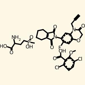 C#CCN1C(=O)COc2cc(F)c(N3C(=O)C4=C(CCCC4)C3=O)cc21.COc1c(Cl)ccc(Cl)c1C(=O)O.CP(=O)(O)CCC(N)C(=O)O